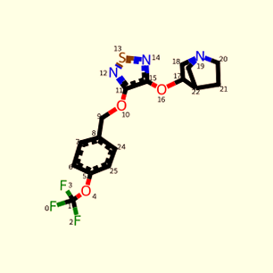 FC(F)(F)Oc1ccc(COc2nsnc2OC2CN3CCC2C3)cc1